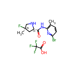 Cc1ccc(Br)nc1NC(=O)[C@@H]1C[C@@](C)(F)CN1.O=C(O)C(F)(F)F